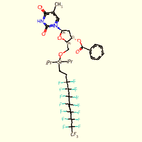 Cc1cn([C@H]2C[C@H](OC(=O)c3ccccc3)[C@@H](CO[Si](CCC(F)(F)C(F)(F)C(F)(F)C(F)(F)C(F)(F)C(F)(F)C(F)(F)C(F)(F)F)(C(C)C)C(C)C)O2)c(=O)[nH]c1=O